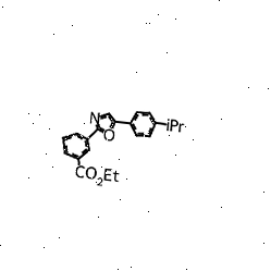 CCOC(=O)c1cccc(-c2ncc(-c3ccc(C(C)C)cc3)o2)c1